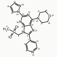 CS(=O)(=O)Cn1c(-c2ccncc2)nc2c(N3CCOCC3)nc(-n3cccn3)nc21